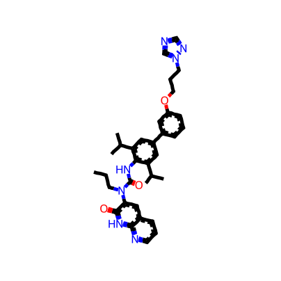 CCCN(C(=O)Nc1c(C(C)C)cc(-c2cccc(OCCCn3cncn3)c2)cc1C(C)C)c1cc2cccnc2[nH]c1=O